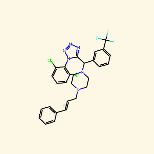 FC(F)(F)c1cccc(C(c2nnnn2-c2c(Cl)cccc2Cl)N2CCN(C/C=C/c3ccccc3)CC2)c1